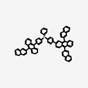 C1=CCC2C=CC(c3c4c(c(-c5ccc(N(c6ccccc6)c6ccc(-c7ccc8c(-c9ccc%10ccccc%10c9)c9ccccc9c(-c9ccc%10ccccc%10c9)c8c7)cc6)cc5)c5ccccc35)=CCCC=4)=CC2=C1